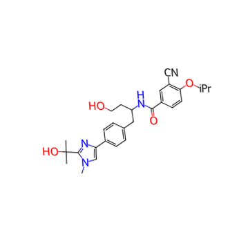 CC(C)Oc1ccc(C(=O)NC(CCO)Cc2ccc(-c3cn(C)c(C(C)(C)O)n3)cc2)cc1C#N